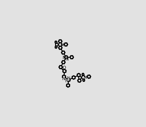 c1ccc(-c2cc(-c3ccc(-c4ccc5c(c4)N(c4ccccc4)c4ccccc4C54c5ccccc5-c5ccccc54)cc3)nc(-c3ccc(-c4cccc5c4oc4ccc(-c6ccnc(-c7nc(-c8ccccc8)cc(-c8ccc(-c9cccc%10c9-c9ccccc9C%109c%10ccccc%10N(c%10ccccc%10)c%10ccccc%109)cc8)n7)c6)cc45)cc3)n2)cc1